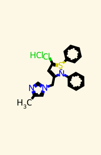 Cc1cn(CC2=CC(Cl)=S(c3ccccc3)N2c2ccccc2)cn1.Cl